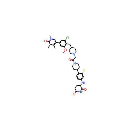 COc1cc(-c2cn(C)c(=O)c(C)c2C)cc(Cl)c1CC1CCN(CC(=O)N2CCC(c3ccc(NC4CCC(=O)NC4=O)cc3F)CC2)CC1